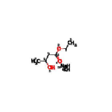 CCOC(=O)CC(C)O.[KH].[NaH]